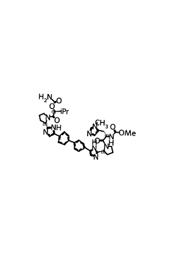 COC(=O)N[C@@H](Cc1cncn1C)C(=O)N1CCC[C@H]1c1ncc(-c2ccc(-c3ccc(-c4cnc([C@@H]5CCCN5C(=O)[C@@H](OC(N)=O)C(C)C)[nH]4)cc3)cc2)[nH]1